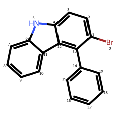 Brc1ccc2[nH]c3ccccc3c2c1-c1ccccc1